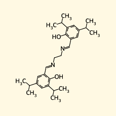 CC(C)c1cc(C=NCCN=Cc2cc(C(C)C)cc(C(C)C)c2O)c(O)c(C(C)C)c1